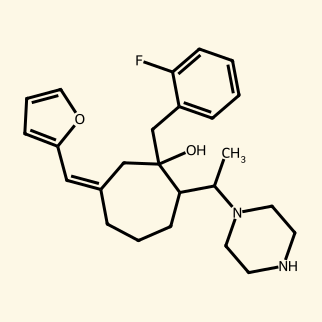 CC(C1CCCC(=Cc2ccco2)CC1(O)Cc1ccccc1F)N1CCNCC1